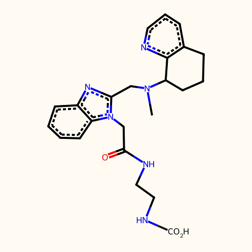 CN(Cc1nc2ccccc2n1CC(=O)NCCNC(=O)O)C1CCCc2cccnc21